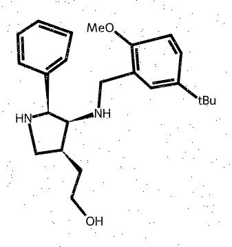 COc1ccc(C(C)(C)C)cc1CN[C@H]1[C@@H](CCO)CN[C@H]1c1ccccc1